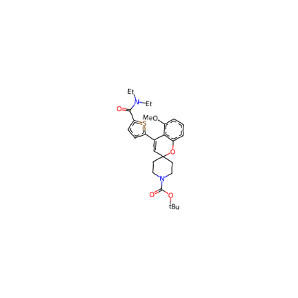 CCN(CC)C(=O)c1ccc(C2=CC3(CCN(C(=O)OC(C)(C)C)CC3)Oc3cccc(OC)c32)s1